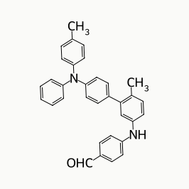 Cc1ccc(N(c2ccccc2)c2ccc(-c3cc(Nc4ccc(C=O)cc4)ccc3C)cc2)cc1